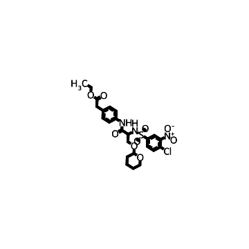 CCOC(=O)Cc1ccc(NC(=O)C(COC2CCCCO2)NS(=O)(=O)c2ccc(Cl)c([N+](=O)[O-])c2)cc1